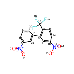 O=[N+]([O-])c1cccc(-c2cc([N+](=O)[O-])ccc2C(F)(F)F)c1